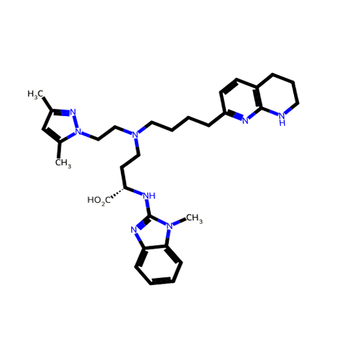 Cc1cc(C)n(CCN(CCCCc2ccc3c(n2)NCCC3)CC[C@H](Nc2nc3ccccc3n2C)C(=O)O)n1